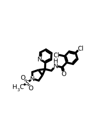 CS(=O)(=O)N1CC2C(C1)C2(CNC(=O)c1ccc(Cl)cc1Cl)c1ccccn1